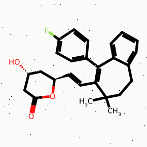 CC1(C)CCc2ccccc2C(c2ccc(F)cc2)=C1/C=C/[C@@H]1C[C@@H](O)CC(=O)O1